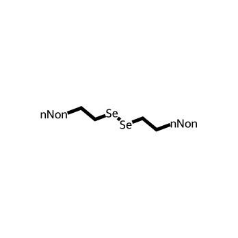 CCCCCCCCCCC[Se][Se]CCCCCCCCCCC